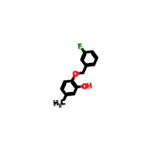 Cc1ccc(OCc2cccc(F)c2)c(O)c1